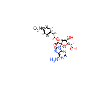 Nc1ncnc2c1ncn2[C@@]1(C(=O)OCCc2ccc([N+](=O)[O-])cc2)C[C@H](O)[C@@H](CO)O1